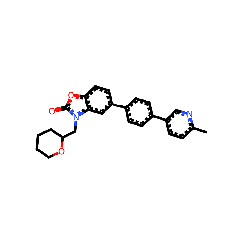 Cc1ccc(-c2ccc(-c3ccc4oc(=O)n(CC5CCCCO5)c4c3)cc2)cn1